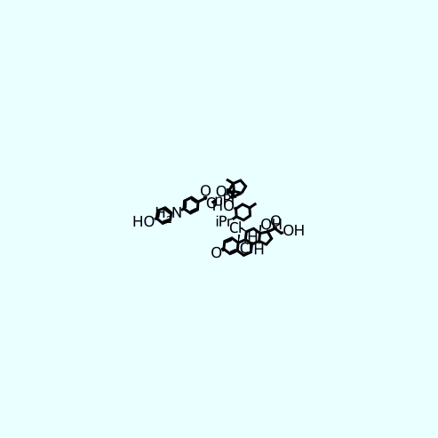 CC12CCC(CC1=O)C2(C)C.CC1CCC(C(C)C)C(O)C1.CCCOC(=O)c1ccc(N)cc1.C[C@]12C=CC(=O)C=C1CC[C@H]1[C@@H]3CC[C@](O)(C(=O)CO)[C@@]3(C)C[C@H](Cl)[C@@]12Cl.Oc1ccccc1